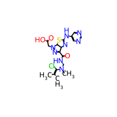 CC(C)=C(Cl)N(C)CNC(=O)C1=NN(CC(=O)O)C2SC(Nc3cncnc3)=NC12